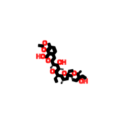 CC[C@@H](C(=O)[C@@H](C)[C@@H](O)[C@H](C)CCc1ccc(C)c(OC(C)=O)c1C(=O)O)[C@H]1O[C@](CC)([C@H]2CC[C@](O)(CC)[C@H](C)O2)C[C@@H]1C